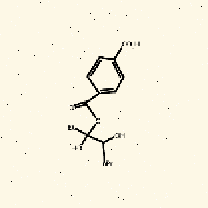 CCCC(O)C(O)(CC)OC(=O)c1ccc(C(=O)O)cc1